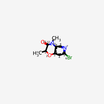 CC1Oc2cc(Br)ncc2N(C)C1=O